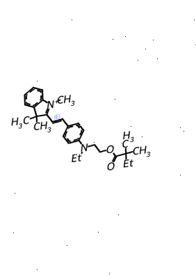 CCN(CCOC(=O)C(C)(C)CC)c1ccc(/C=C/C2=[N+](C)c3ccccc3C2(C)C)cc1